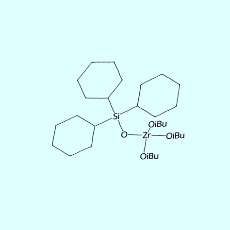 CC(C)C[O][Zr]([O]CC(C)C)([O]CC(C)C)[O][Si](C1CCCCC1)(C1CCCCC1)C1CCCCC1